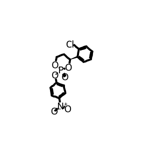 O=[N+]([O-])c1ccc(O[P@]2(=O)OCC[C@@H](c3ccccc3Cl)O2)cc1